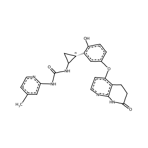 Cc1ccnc(NC(=O)NC2C[C@@H]2c2cc(Oc3ccnc4c3CCC(=O)N4)ccc2O)c1